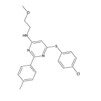 COCCNc1cc(Sc2ccc(Cl)cc2)nc(-c2ccc(C)cc2)n1